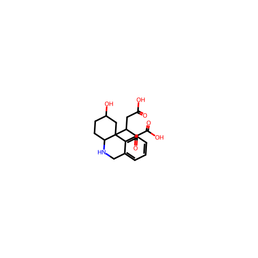 O=C(O)CC(C(=O)C(=O)O)C12CC(O)CCC1NCc1ccccc12